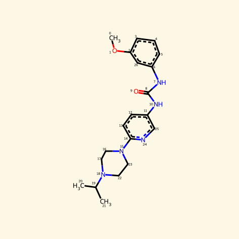 COc1cccc(NC(=O)Nc2ccc(N3CCN(C(C)C)CC3)nc2)c1